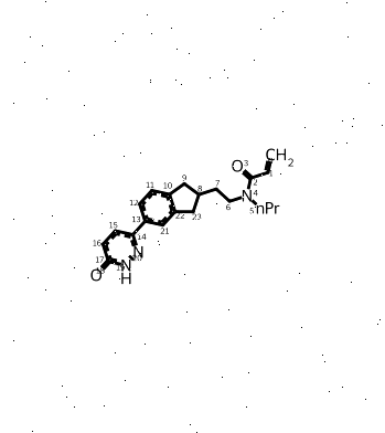 C=CC(=O)N(CCC)CCC1Cc2ccc(-c3ccc(=O)[nH]n3)cc2C1